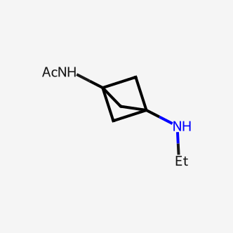 CCNC12CC(NC(C)=O)(C1)C2